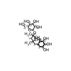 CC(C)(Cc1cc(O)c(O)c(O)c1O)CC(C)(C)O[C@@H]1O[C@H](CO)[C@@H](O)[C@H](O)[C@H]1O